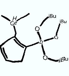 CCC(C)[O][Zr]([O]C(C)CC)([O]C(C)CC)[C]1=[C]([GeH]([CH3])[CH3])C=CC1